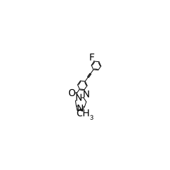 CN1C2CCC1Cn1c(nc3cc(C#Cc4cccc(F)c4)ccc3c1=O)C2